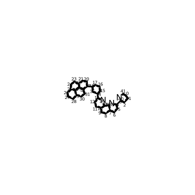 c1ccc(-c2ccc3ccc4ccc(-c5cccc(-c6ccc7ccc8cccc9ccc6c7c89)c5)nc4c3n2)nc1